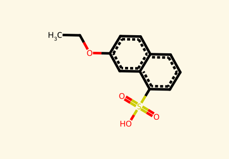 CCOc1ccc2cccc(S(=O)(=O)O)c2c1